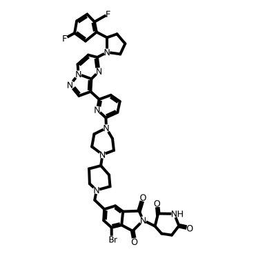 O=C1CCC(N2C(=O)c3cc(CN4CCC(N5CCN(c6cccc(-c7cnn8ccc(N9CCCC9c9cc(F)ccc9F)nc78)n6)CC5)CC4)cc(Br)c3C2=O)C(=O)N1